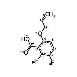 C=CCOc1ccc(F)c(F)c1C(=O)O